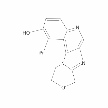 CC(C)c1c(O)ccc2ncc3nc4n(c3c12)CCOC4